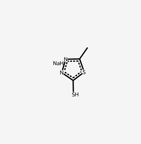 Cc1nnc(S)s1.[NaH]